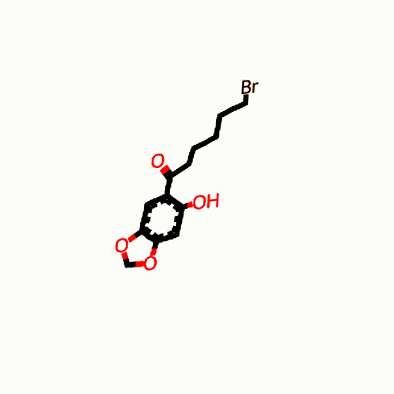 O=C(CCCCCBr)c1cc2c(cc1O)OCO2